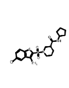 Cc1c(S(=O)(=O)N2CCCC(C(=O)NC3CCCC3)C2)sc2ccc(Cl)cc12